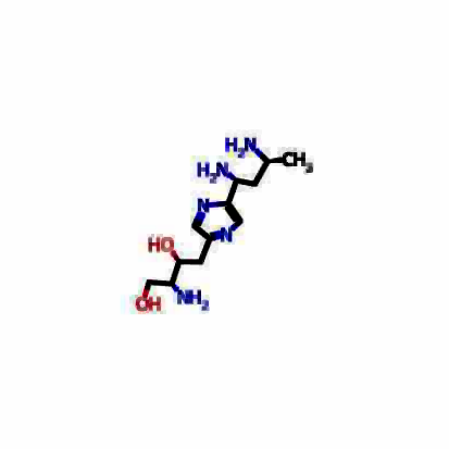 C[C@H](N)C[C@H](N)c1cnc(C[C@H](O)[C@@H](N)CO)cn1